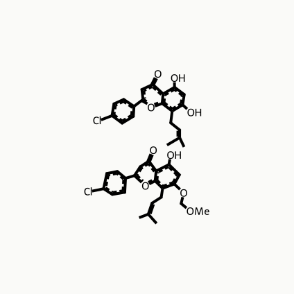 CC(C)=CCc1c(O)cc(O)c2c(=O)cc(-c3ccc(Cl)cc3)oc12.COCOc1cc(O)c2c(=O)cc(-c3ccc(Cl)cc3)oc2c1CC=C(C)C